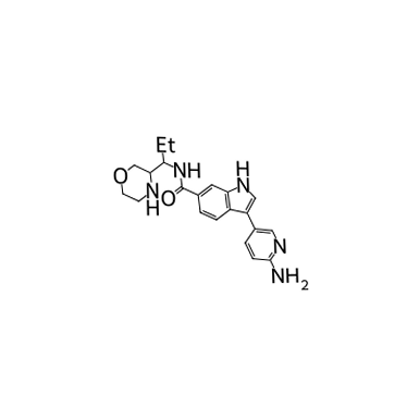 CCC(NC(=O)c1ccc2c(-c3ccc(N)nc3)c[nH]c2c1)C1COCCN1